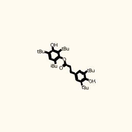 CCC(C)c1cc(C(C)(C)C)c(O)c(C(C)(C)C)c1OC(=O)CCc1cc(C(C)(C)C)c(O)c(C(C)(C)C)c1